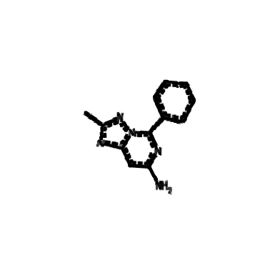 Cc1nc2cc(N)nc(-c3ccccc3)n2n1